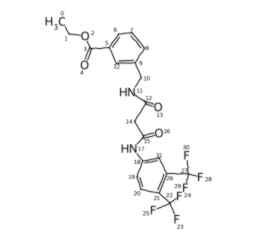 CCOC(=O)c1cccc(CNC(=O)CC(=O)Nc2ccc(C(F)(F)F)c(C(F)(F)F)c2)c1